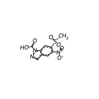 CS(=O)(=O)c1cc2c(cnn2C(=O)O)cc1[N+](=O)[O-]